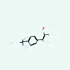 CC(CO)=C(C)c1ccc(C(C)(C)C)cc1